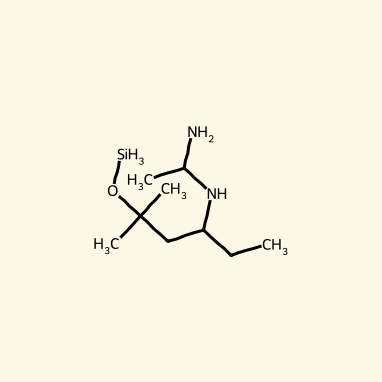 CCC(CC(C)(C)O[SiH3])NC(C)N